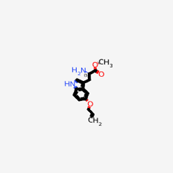 C=CCOc1ccc2[nH]cc(C[C@H](N)C(=O)OC)c2c1